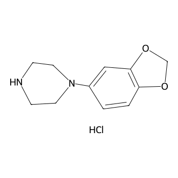 Cl.c1cc2c(cc1N1CCNCC1)OCO2